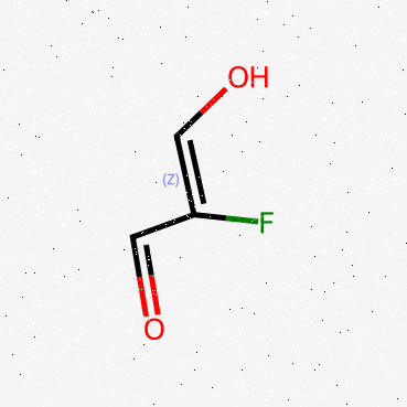 O=C/C(F)=C/O